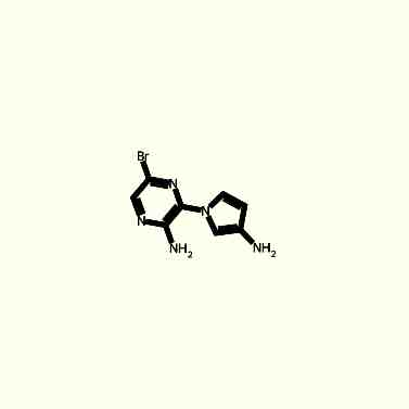 Nc1ccn(-c2nc(Br)cnc2N)c1